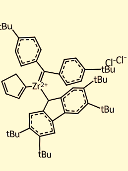 CC(C)(C)c1ccc([C](c2ccc(C(C)(C)C)cc2)=[Zr+2]([C]2=CC=CC2)[CH]2c3cc(C(C)(C)C)c(C(C)(C)C)cc3-c3cc(C(C)(C)C)c(C(C)(C)C)cc32)cc1.[Cl-].[Cl-]